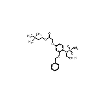 C[Si](C)(C)CCOC(=O)COc1ccc(N(CC(=O)O)S(N)(=O)=O)c(OCc2ccccc2)c1